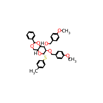 COc1ccc(CO[C@H]2[C@H]3OC(c4ccccc4)OC[C@H]3O[C@@H](Sc3ccc(C)cc3)[C@@H]2OCc2ccc(OC)cc2)cc1